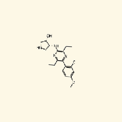 CCc1nc(-c2ccc(OC)cc2Cl)c(CC)nc1N[C@@H]1CNC[C@@H]1O